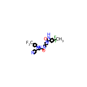 CC(F)(F)c1ccc2c(c1)NC(=O)C2N1CC2(CN(C(=O)c3cc(-c4ccncc4)n(-c4ccc(C(F)(F)F)cc4)n3)C2)C1